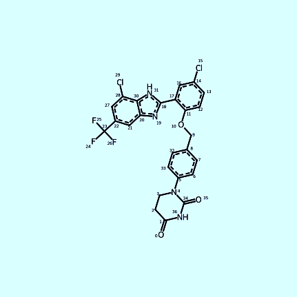 O=C1CCN(c2ccc(COc3ccc(Cl)cc3-c3nc4cc(C(F)(F)F)cc(Cl)c4[nH]3)cc2)C(=O)N1